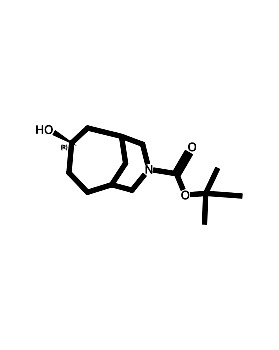 CC(C)(C)OC(=O)N1CC2CC[C@@H](O)CC(C2)C1